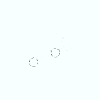 O=CNCC1(c2ccc(OCc3ccccc3)cc2)CCC1